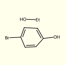 CCO.Oc1ccc(Br)cc1